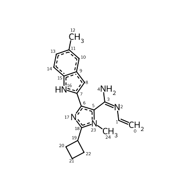 C=C/N=C(/N)c1c(-c2cc3cc(C)ccc3[nH]2)nc(C2CCC2)n1C